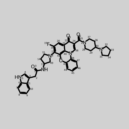 O=C(Cc1c[nH]c2ccccc12)NC1CCN(c2c(F)cc3c(=O)c(C(=O)N4CCC(N5CCCC5)CC4)cn4c3c2Oc2ccccc2-4)C1